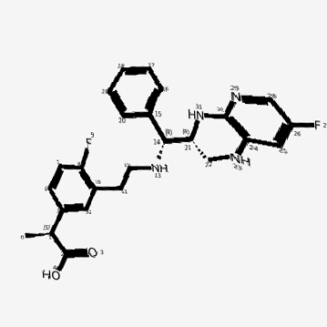 C[C@H](C(=O)O)c1ccc(F)c(CCN[C@H](c2ccccc2)[C@H]2CNc3cc(F)cnc3N2)c1